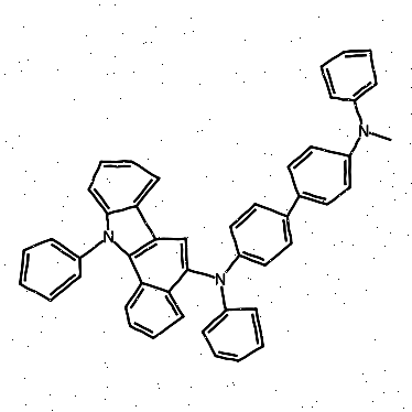 CN(c1ccccc1)c1ccc(-c2ccc(N(c3ccccc3)c3cc4c5ccccc5n(-c5ccccc5)c4c4ccccc34)cc2)cc1